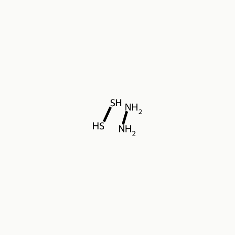 NN.SS